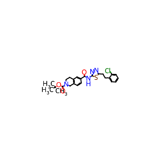 CC(C)(C)OC(=O)N1CCc2cc(C(=O)Nc3nnc(CCc4ccccc4Cl)s3)ccc2C1